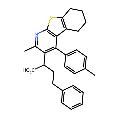 Cc1ccc(-c2c(C(CCc3ccccc3)C(=O)O)c(C)nc3sc4c(c23)CCCC4)cc1